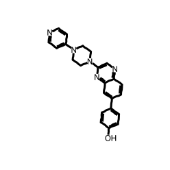 Oc1ccc(-c2ccc3ncc(N4CCN(c5ccncc5)CC4)nc3c2)cc1